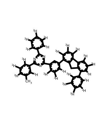 [2H]c1c(-c2nc(-c3c([2H])c([2H])c([2H])c([2H])c3[2H])nc(-c3c([2H])c([2H])c([2H])c(C)c3[2H])n2)cc(-c2c([2H])c([2H])c([2H])c3c2Cc2c(-c4c([2H])c([2H])c([2H])c([2H])c4[2H])c([2H])c([2H])c([2H])c2-3)c([2H])c1[2H]